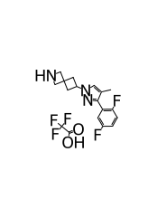 Cc1cn(C2CC3(CNC3)C2)nc1-c1cc(F)ccc1F.O=C(O)C(F)(F)F